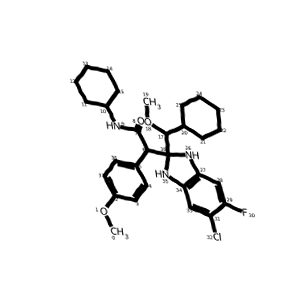 COc1ccc(C(C(=O)NC2CCCCC2)C2(C(OC)C3CCCCC3)Nc3cc(F)c(Cl)cc3N2)cc1